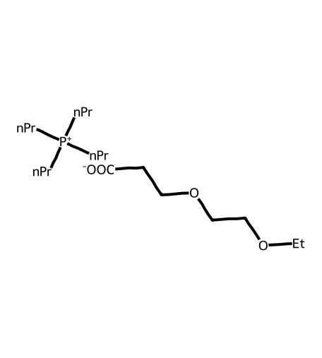 CCC[P+](CCC)(CCC)CCC.CCOCCOCCC(=O)[O-]